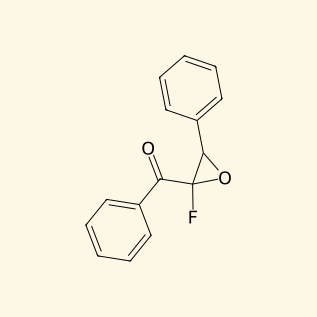 O=C(c1ccccc1)C1(F)OC1c1ccccc1